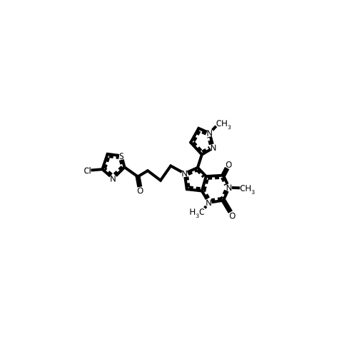 Cn1ccc(-c2c3c(=O)n(C)c(=O)n(C)c3cn2CCCC(=O)c2nc(Cl)cs2)n1